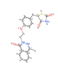 Cc1nn(CCOc2ccc(CC3SC(=O)NC3=O)cc2)c(=O)c2ccccc12